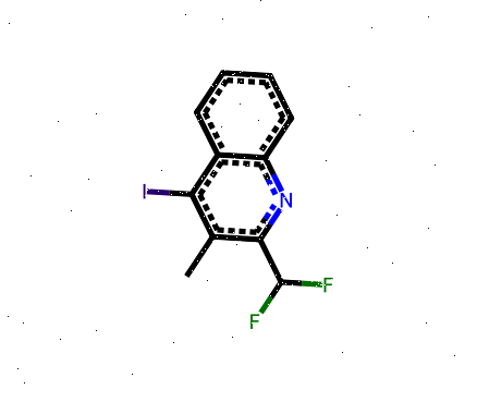 Cc1c(C(F)F)nc2ccccc2c1I